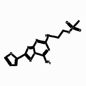 CS(=O)(=O)OCCNc1nc(N)n2nc(-c3ccco3)nc2n1